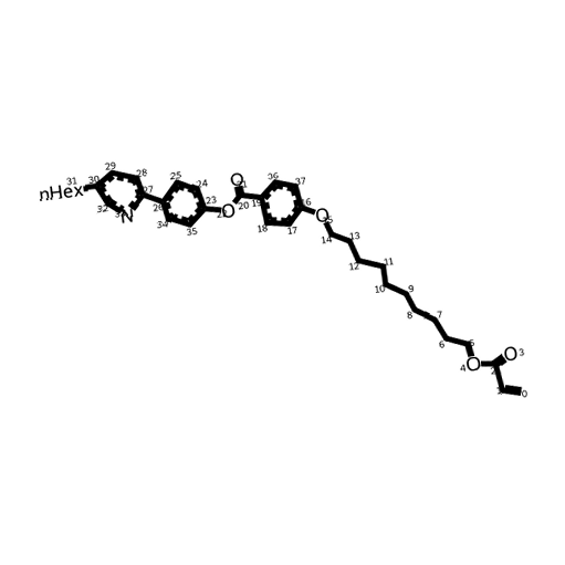 C=CC(=O)OCCCCCCCCCCOc1ccc(C(=O)Oc2ccc(-c3ccc(CCCCCC)cn3)cc2)cc1